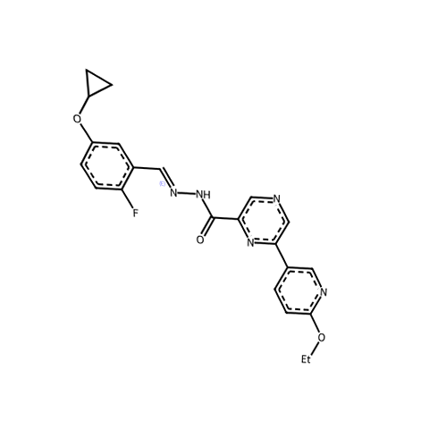 CCOc1ccc(-c2cncc(C(=O)N/N=C/c3cc(OC4CC4)ccc3F)n2)cn1